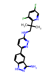 CC(C)(CNc1ccc(-c2ccc3[nH]nc(N)c3c2)nn1)c1ncc(F)cc1F